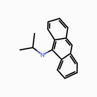 CC(C)[N]c1c2ccccc2cc2ccccc12